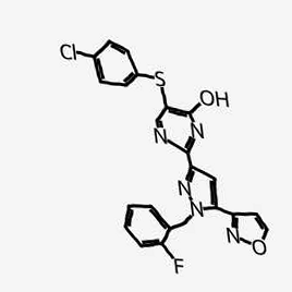 Oc1nc(-c2cc(-c3ccon3)n(Cc3ccccc3F)n2)ncc1Sc1ccc(Cl)cc1